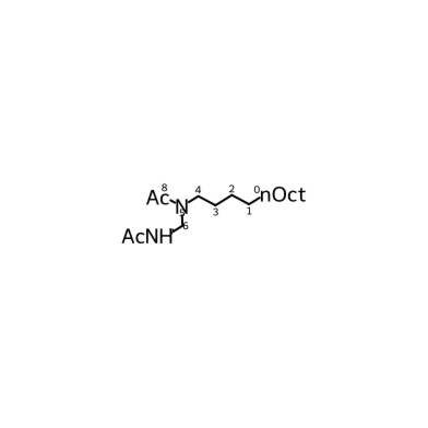 CCCCCCCCCCCCN(CNC(C)=O)C(C)=O